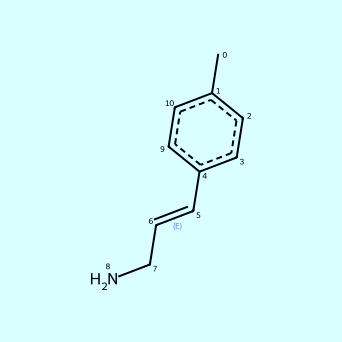 Cc1ccc(/C=C/CN)cc1